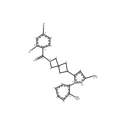 Cc1cc(C2CC3(C2)CN(C(=O)c2ccc(F)cc2F)C3)n(-c2ccccc2C)n1